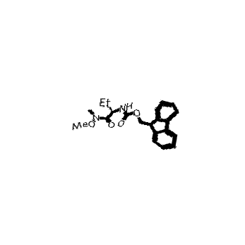 CC[C@H](NC(=O)OCC1c2ccccc2-c2ccccc21)C(=O)N(C)OC